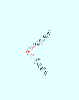 [Co].[Co].[Fe+3].[Fe+3].[Mo].[Mo].[O-2].[O-2].[O-2].[W].[W]